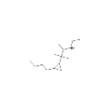 CCCCC1CC1C(C)(C)C(C)NCC